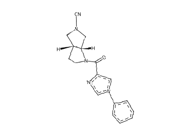 N#CN1C[C@H]2CCN(C(=O)c3cn(-c4ccccc4)cn3)[C@H]2C1